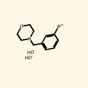 [B+2]c1cccc(CN2CCOCC2)c1.[OH-].[OH-]